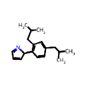 CC(C)Cc1ccc(C2C=CC=N2)c(CC(C)C)c1